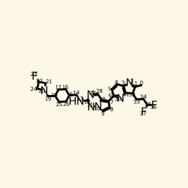 CC1=Nc2ccc(-c3ccn4nc(NCC5CCC(CN6CC(F)C6)CC5)ncc34)nc2C1CCC(F)F